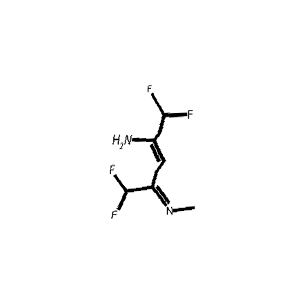 C/N=C(\C=C(/N)C(F)F)C(F)F